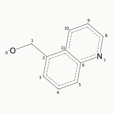 [O]Cc1cccc2ncccc12